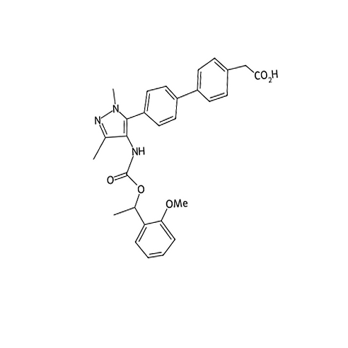 COc1ccccc1C(C)OC(=O)Nc1c(C)nn(C)c1-c1ccc(-c2ccc(CC(=O)O)cc2)cc1